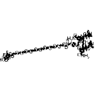 CCn1nc(C)cc1C(=O)Nc1nc2cc(C(N)=O)cc(OC)c2n1CCCCn1c(NC(=O)c2cc(C)nn2CC)nc2cc(C(N)=O)cc(OCCCN3CCN(CCNC(=O)OCCOCCOCCOCCOCCOCCOCCOCCOCCOCCOCCC(=O)Oc4c(F)c(F)c(S(=O)(=O)O)c(F)c4F)CC3)c21